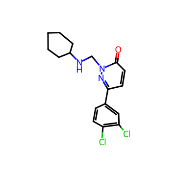 O=c1ccc(-c2ccc(Cl)c(Cl)c2)nn1CNC1CCCCC1